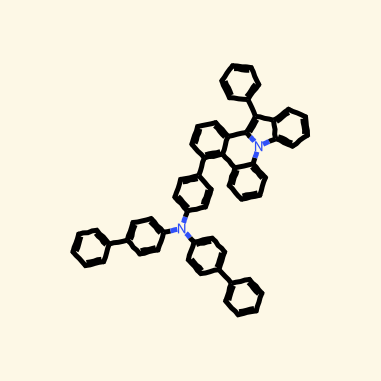 c1ccc(-c2ccc(N(c3ccc(-c4ccccc4)cc3)c3ccc(-c4cccc5c4c4ccccc4n4c6ccccc6c(-c6ccccc6)c54)cc3)cc2)cc1